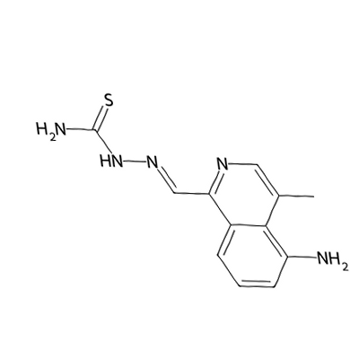 Cc1cnc(C=NNC(N)=S)c2cccc(N)c12